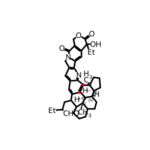 CCC(C=O)CC(c1ccc2nc3c(cc2c1)Cn1c-3cc2c(c1=O)COC(=O)C2(O)CC)C1CCCC2CC[C@H]3[C@@H]4CCC[C@@]4(C)CC[C@@H]3[C@]21C